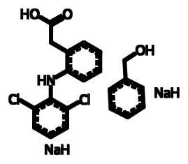 O=C(O)Cc1ccccc1Nc1c(Cl)cccc1Cl.OCc1ccccc1.[NaH].[NaH]